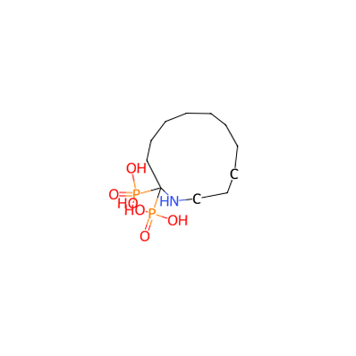 O=P(O)(O)C1(P(=O)(O)O)CCCCCCCCCCN1